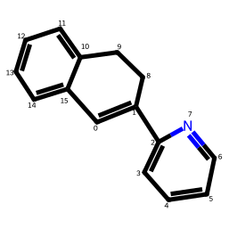 C1=C(c2ccccn2)CCc2ccccc21